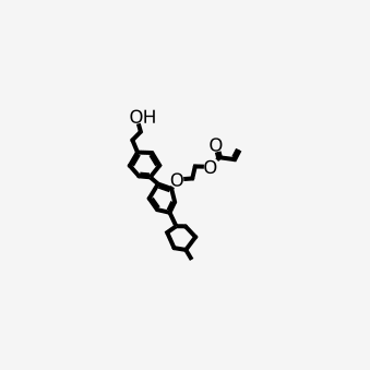 C=CC(=O)OCCOc1cc(C2CCC(C)CC2)ccc1-c1ccc(CCO)cc1